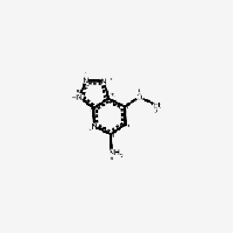 CCOc1cc(N)nc2[nH]nnc12